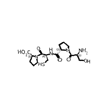 N[C@@H](CO)C(=O)N1CCC[C@H]1C(=O)N[C@@H](CS)C(=O)N1CCC[C@H]1C(=O)O